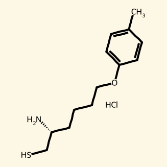 Cc1ccc(OCCCC[C@@H](N)CS)cc1.Cl